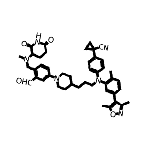 Cc1ccc(-c2c(C)noc2C)cc1N(CCCC1CCN(c2ccc(CN(C)C3CCC(=O)NC3=O)c(C=O)c2)CC1)c1ccc(C2(C#N)CC2)cc1